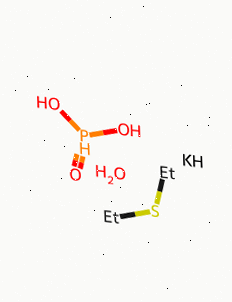 CCSCC.O.O=[PH](O)O.[KH]